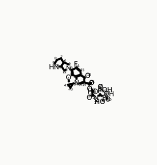 COc1c(N2CC3CCCNC3C2)c(F)cc2c(=O)c(C(=O)OCC(=O)N(C)C(P(=O)(O)O)P(=O)(O)O)cn(C3CC3)c12